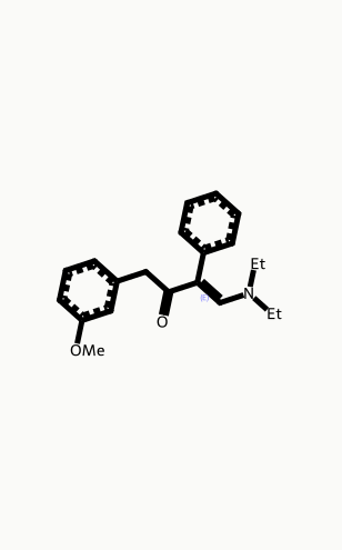 CCN(/C=C(/C(=O)Cc1cccc(OC)c1)c1ccccc1)CC